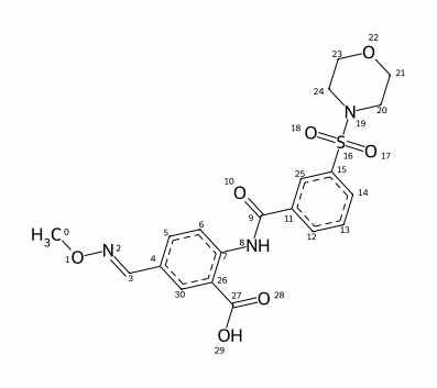 CON=Cc1ccc(NC(=O)c2cccc(S(=O)(=O)N3CCOCC3)c2)c(C(=O)O)c1